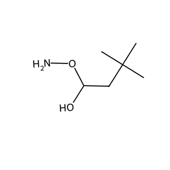 CC(C)(C)CC(O)ON